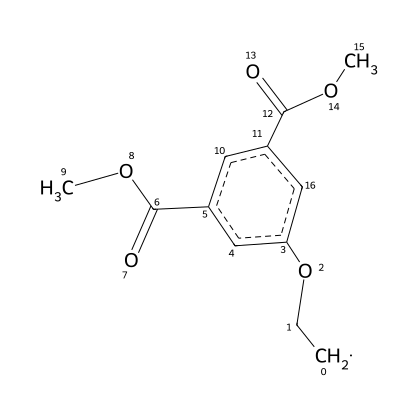 [CH2]COc1cc(C(=O)OC)cc(C(=O)OC)c1